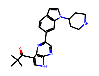 CC(C)(C)C(=O)c1c[nH]c2ncc(-c3ccc4ccn(C5CCNCC5)c4c3)nc12